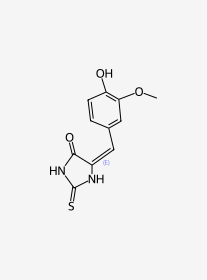 COc1cc(/C=C2/NC(=S)NC2=O)ccc1O